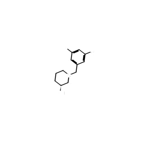 CCc1cc(Br)cc(CN2CCC[C@H](C)C2)c1